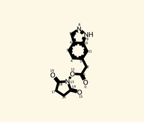 O=C(Cc1ccc2cn[nH]c2c1)ON1C(=O)CCC1=O